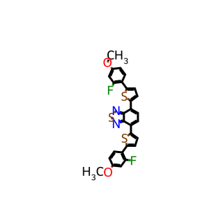 COc1ccc(-c2ccc(-c3ccc(-c4ccc(-c5ccc(OC)cc5F)s4)c4nsnc34)s2)c(F)c1